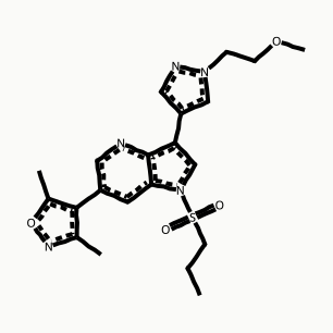 CCCS(=O)(=O)n1cc(-c2cnn(CCOC)c2)c2ncc(-c3c(C)noc3C)cc21